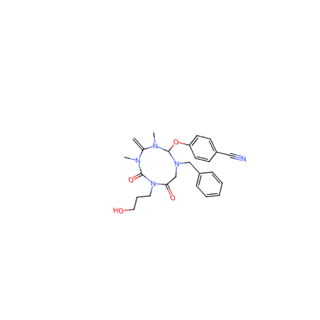 C=C1N(C)C(=O)N(CCCO)C(=O)CN(Cc2ccccc2)C(Oc2ccc(C#N)cc2)N1C